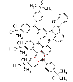 CC(C)(C)c1ccc(N(c2ccc(C(C)(C)C)cc2)c2ccc3c(c2)N(c2ccc(C(C)(C)C)cc2-c2ccccc2)c2cc(N(c4ccc(C(C)(C)C)cc4)c4ccc(C(C)(C)C)cc4)cc4c2B3c2cccc3c5c6ccccc6oc5n-4c23)cc1